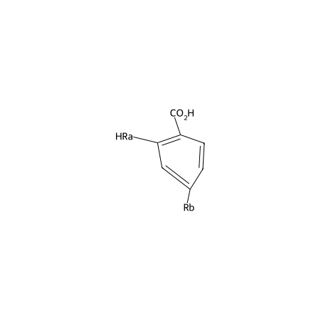 O=C(O)c1cc[c]([Rb])c[c]1[RaH]